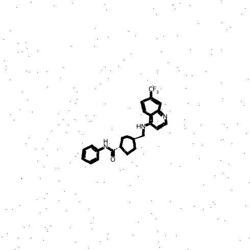 O=C(Nc1ccccc1)[C@H]1CC[C@H](CNc2ccnc3cc(C(F)(F)F)ccc23)CC1